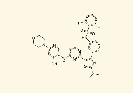 CC(C)c1nc(-c2cccc(NS(=O)(=O)c3c(F)cccc3F)c2)c(-c2ccnc(Nc3cnc(N4CCOCC4)cc3O)n2)s1